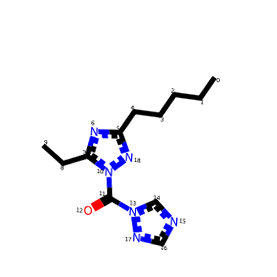 CCCCCc1nc(CC)n(C(=O)n2cncn2)n1